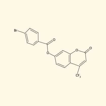 O=C(Oc1ccc2c(C(F)(F)F)cc(=O)oc2c1)c1ccc(Br)cc1